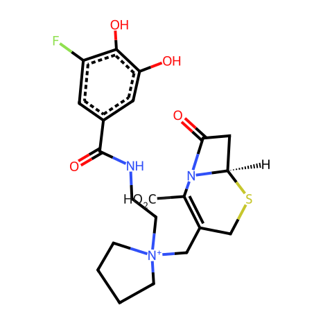 O=C(O)C1=C(C[N+]2(CCNC(=O)c3cc(O)c(O)c(F)c3)CCCC2)CS[C@@H]2CC(=O)N12